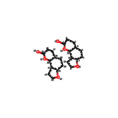 O=c1ccc2ccc3occc3c2o1.O=c1ccc2ccc3occc3c2o1